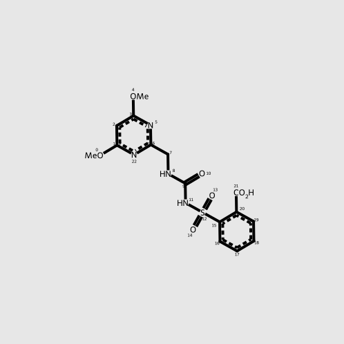 COc1cc(OC)nc(CNC(=O)NS(=O)(=O)c2ccccc2C(=O)O)n1